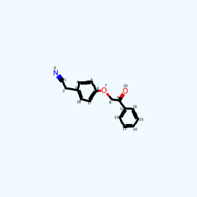 N#CCc1ccc(OCC(=O)c2ccccc2)cc1